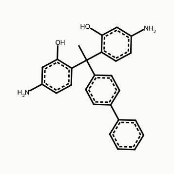 CC(c1ccc(-c2ccccc2)cc1)(c1ccc(N)cc1O)c1ccc(N)cc1O